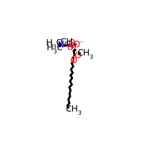 CCCCCCCCCCCCCCCCOC[C@@H](C=CP(=O)([O-])OCC[N+](C)(C)C)OC